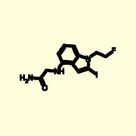 NC(=O)CNc1cccc2c1cc(I)n2CCF